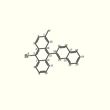 Cc1ccc2c(Br)c3ccccc3c(-c3ccc4ccccc4c3)c2c1